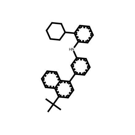 CC(C)(C)c1ccc(-c2cccc(Nc3ccccc3C3CCCCC3)c2)c2ccccc12